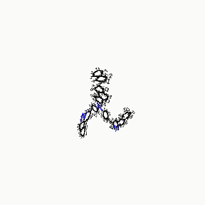 c1ccc2cc(-c3ccc4c(ccc5cc(N(c6ccc(-c7cnc8ccc9ccccc9c8c7)cc6)c6ccc(-c7cnc8ccc9ccccc9c8c7)cc6)ccc54)c3)ccc2c1